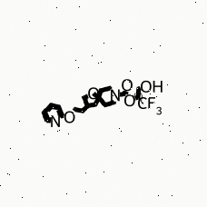 O=C(O[C@H](CO)C(F)(F)F)N1CCC2(CC1)CC(CCOc1ccccn1)CO2